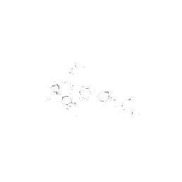 COC(=O)C[C@@H]1N=C(c2ccc(-c3ccc(SCC(=O)OC(C)(C)C)cc3)cc2)c2c(sc(C)c2C)-n2c(C)nnc21